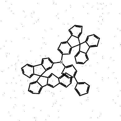 c1ccc(-c2ccc(N(c3ccc4c(c3)C3(c5ccccc5-c5ccccc53)c3ccccc3-4)c3ccc4c(c3)C3(c5ccccc5-4)c4ccccc4-c4cc5ccccc5cc43)cc2)cc1